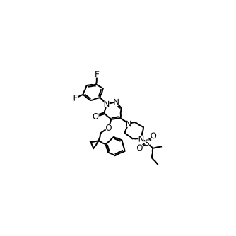 CCC(C)S(=O)(=O)N1CCN(c2cnn(-c3cc(F)cc(F)c3)c(=O)c2OCC2(c3ccccc3)CC2)CC1